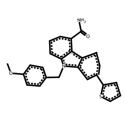 COc1ccc(Cn2c3cc(-c4cccs4)c[c]c3c3c(C(N)=O)cccc32)cc1